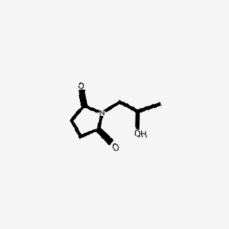 CC(O)CN1C(=O)CCC1=O